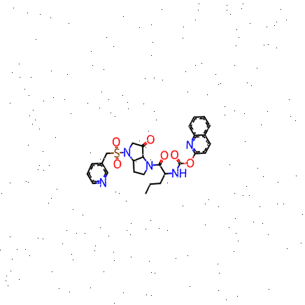 CCCC(NC(=O)Oc1ccc2ccccc2n1)C(=O)N1CCC2C1C(=O)CN2S(=O)(=O)Cc1cccnc1